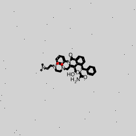 CN(C)CCN1CCN(Cc2c(C(=O)O)c3c([C@@H](CC(N)=O)c4ccccc4)cccc3c(=O)n2-c2ccccc2)CC1